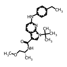 CCc1ccc(Nc2ccc3c(C(=O)N[C@H](C)COC)cn(C(C)(C)C)c3n2)cc1